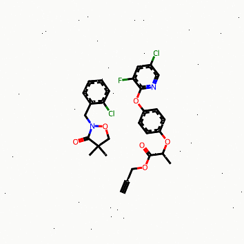 C#CCOC(=O)C(C)Oc1ccc(Oc2ncc(Cl)cc2F)cc1.CC1(C)CON(Cc2ccccc2Cl)C1=O